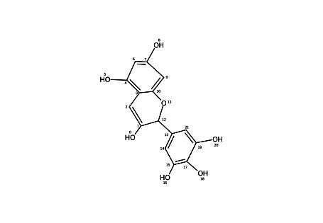 OC1=Cc2c(O)cc(O)cc2OC1c1cc(O)c(O)c(O)c1